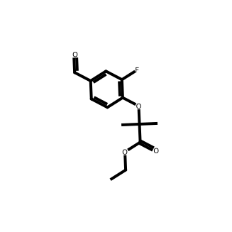 CCOC(=O)C(C)(C)Oc1ccc(C=O)cc1F